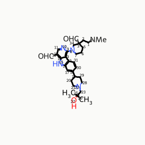 CNCCC1(C=O)CCCN(c2ncc(C=O)c3[nH]c4cc(C5CCN(CC(C)(C)O)CC5)ccc4c23)C1